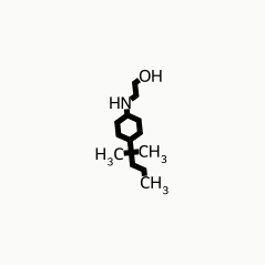 CCCC(C)(C)C1CCC(NCCO)CC1